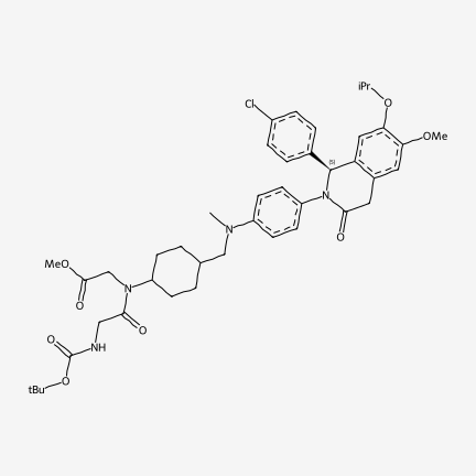 COC(=O)CN(C(=O)CNC(=O)OC(C)(C)C)C1CCC(CN(C)c2ccc(N3C(=O)Cc4cc(OC)c(OC(C)C)cc4[C@@H]3c3ccc(Cl)cc3)cc2)CC1